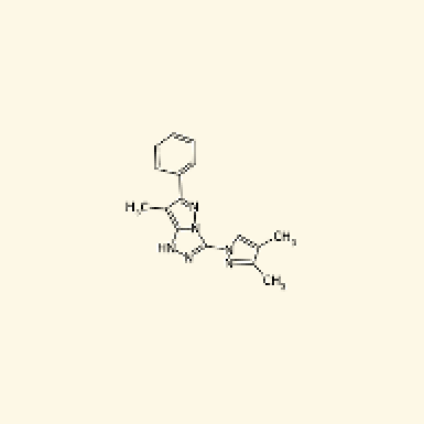 Cc1cn(-c2n[nH]c3c(C)c(-c4ccccc4)nn23)nc1C